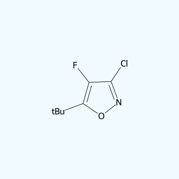 CC(C)(C)c1onc(Cl)c1F